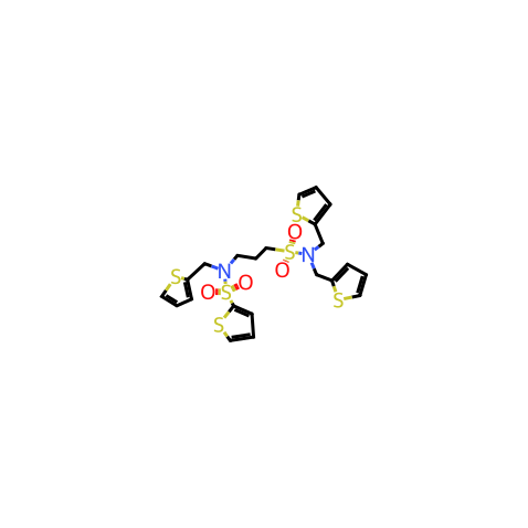 O=S(=O)(CCCN(Cc1cccs1)S(=O)(=O)c1cccs1)N(Cc1cccs1)Cc1cccs1